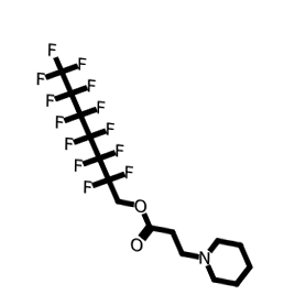 O=C(CCN1CCCCC1)OCC(F)(F)C(F)(F)C(F)(F)C(F)(F)C(F)(F)C(F)(F)F